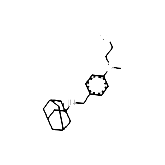 CN(CCC#N)c1ccc(CNC23CC4CC(CC(C4)C2)C3)cc1